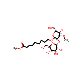 COC(=O)CCCCCCCCO[C@H]1O[C@H](CO)[C@@H](O)[C@H](OC)[C@H]1O[C@H]1O[C@H](CO)[C@@H](O)[C@H](O)[C@H]1O